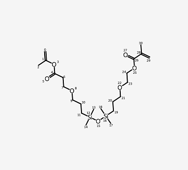 C=C(C)OC(=O)CCOCCC[Si](C)(C)O[Si](C)(C)CCCOCCOC(=O)C(=C)C